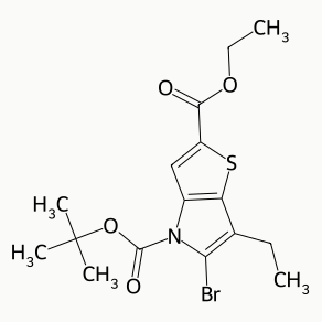 CCOC(=O)c1cc2c(s1)c(CC)c(Br)n2C(=O)OC(C)(C)C